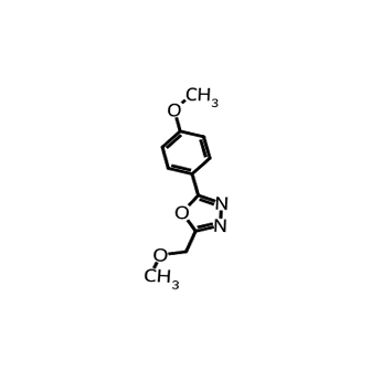 COCc1nnc(-c2ccc(OC)cc2)o1